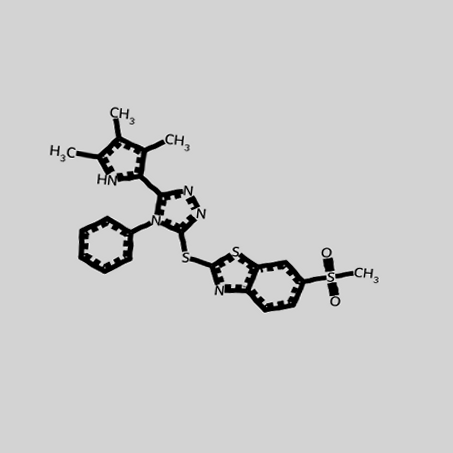 Cc1[nH]c(-c2nnc(Sc3nc4ccc(S(C)(=O)=O)cc4s3)n2-c2ccccc2)c(C)c1C